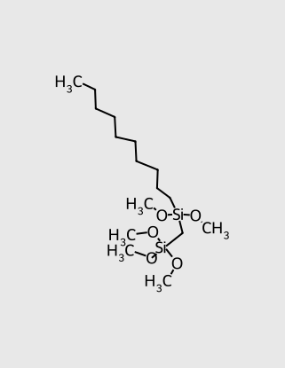 CCCCCCCCCC[Si](C[Si](OC)(OC)OC)(OC)OC